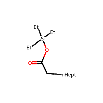 CCCCCCCCC(=O)O[Si](CC)(CC)CC